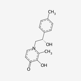 Cc1ccc([C@H](O)Cn2ccc(=O)c(O)c2C)cc1